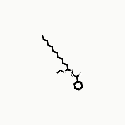 CCCCCCCCCCCC(=NOC(=O)c1ccccc1)OCC